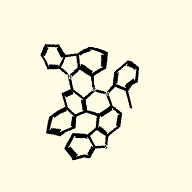 Cc1ccccc1N1B2c3c(cc4ccccc4c3-c3c1ccc1sc4ccccc4c31)-n1c3ccccc3c3cccc2c31